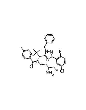 Cc1ccc(C(=O)N(CC[C@H](N)CF)[C@@H](c2nc(-c3cc(Cl)ccc3F)nn2Cc2ccccc2)C(C)(C)C)cc1